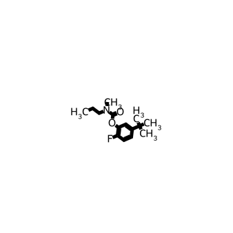 CCCN(C)C(=O)Oc1cc(C(C)(C)C)ccc1F